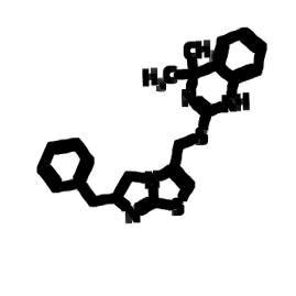 CC1(C)N=C(SCC2=CSC3=NC(Cc4ccccc4)CN23)Nc2ccccc21